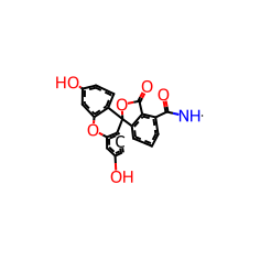 [NH]C(=O)c1cccc2c1C(=O)OC21c2ccc(O)cc2Oc2cc(O)ccc21